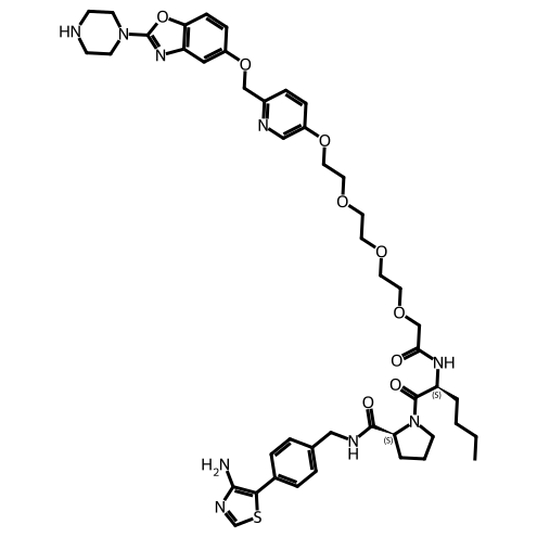 CCCC[C@H](NC(=O)COCCOCCOCCOc1ccc(COc2ccc3oc(N4CCNCC4)nc3c2)nc1)C(=O)N1CCC[C@H]1C(=O)NCc1ccc(-c2scnc2N)cc1